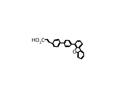 O=C(O)/C=C/c1ccc(-c2ccc(-c3cccc4c3oc3ccccc34)cc2)cc1